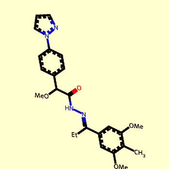 CC/C(=N\NC(=O)C(OC)c1ccc(-n2cccn2)cc1)c1cc(OC)c(C)c(OC)c1